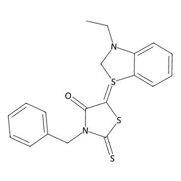 CCN1CS(=C2SC(=S)N(Cc3ccccc3)C2=O)c2ccccc21